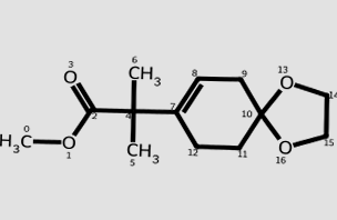 COC(=O)C(C)(C)C1=CCC2(CC1)OCCO2